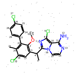 CCOc1c(C(C)c2nc(Cl)c3c(N)nccn23)cc(Cl)c(C)c1-c1ccc(Cl)cc1